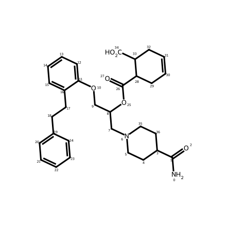 NC(=O)C1CCN(CC(COc2ccccc2CCc2ccccc2)OC(=O)C2CC=CCC2C(=O)O)CC1